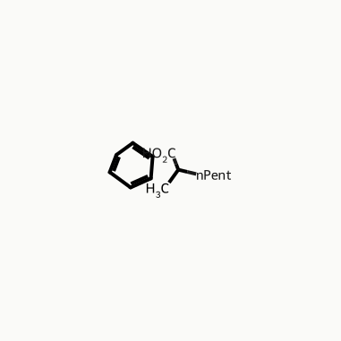 CCCCCC(C)C(=O)O.c1ccccc1